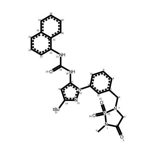 CN1C(=O)CN(Cc2cccc(-n3nc(C(C)(C)C)cc3NC(=O)Nc3cccc4ccccc34)c2)S1(=O)=O